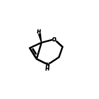 C1=C2NCCO[C@@H]12